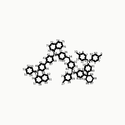 Cc1ccc(N(c2ccc(C)cc2)c2ccc(C3(c4ccc(N(c5ccc(C)cc5)c5ccc(Cc6ccc(N(c7ccc(-c8ccc(N(c9ccccc9)c9cccc%10ccccc9%10)cc8)cc7)c7cccc8ccccc78)cc6)cc5)cc4)CCCCC3)cc2)cc1